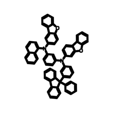 c1ccc(C2(c3cccc(N(c4cccc(N(c5ccc6oc7ccccc7c6c5)c5cccc6ccccc56)c4)c4ccc5c(c4)oc4ccccc45)c3)c3ccccc3-c3ccccc32)cc1